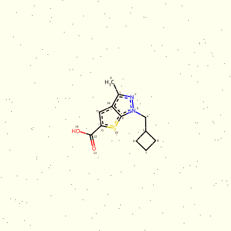 Cc1nn(CC2CCC2)c2sc(C(=O)O)cc12